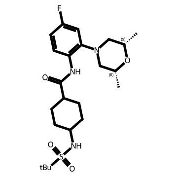 C[C@@H]1CN(c2cc(F)ccc2NC(=O)C2CCC(NS(=O)(=O)C(C)(C)C)CC2)C[C@H](C)O1